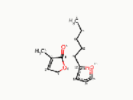 CC1=CCOC1=O.CCCCCc1ccco1